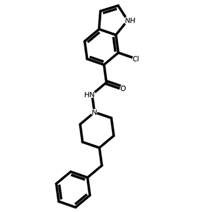 O=C(NN1CCC(Cc2ccccc2)CC1)c1ccc2cc[nH]c2c1Cl